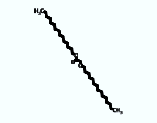 CCCCCCCCCCCCCCCOCC(=O)OCCCCCCCCCCCCCCC